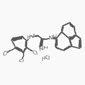 Cl.N=C(Nc1ccc(Cl)c(Cl)c1Cl)Nc1ccc2c3c(cccc13)C=C2